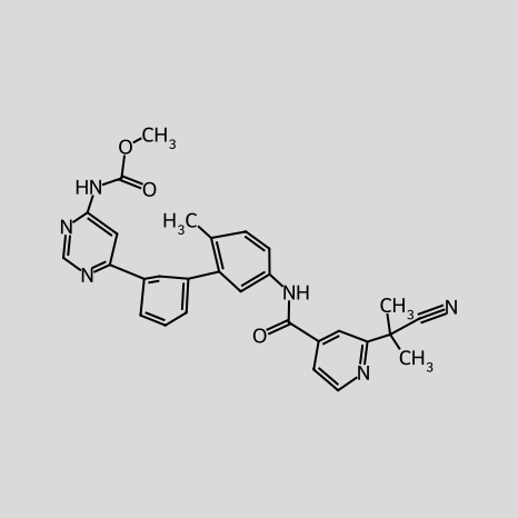 COC(=O)Nc1cc(-c2cccc(-c3cc(NC(=O)c4ccnc(C(C)(C)C#N)c4)ccc3C)c2)ncn1